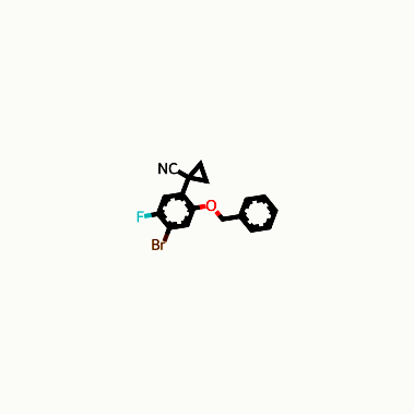 N#CC1(c2cc(F)c(Br)cc2OCc2ccccc2)CC1